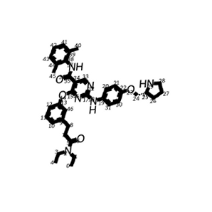 CCN(CC)C(=O)CCc1cccc(Oc2nc(Nc3ccc(OC[C@H]4CCCN4)cc3)ncc2C(=O)Nc2c(C)cccc2C)c1